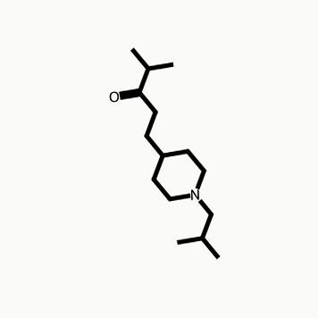 CC(C)CN1CCC(CCC(=O)C(C)C)CC1